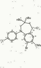 CCCCC1(CCCC)CN(c2ccc(C(F)(F)F)cc2)c2cc(Br)c(OC)cc2[S+]([O-])C1